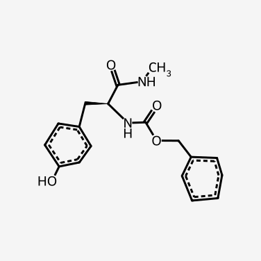 CNC(=O)[C@H](Cc1ccc(O)cc1)NC(=O)OCc1ccccc1